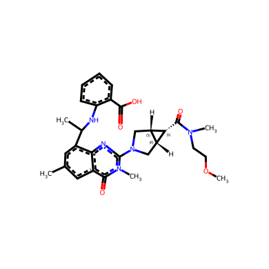 COCCN(C)C(=O)[C@@H]1[C@@H]2CN(c3nc4c(C(C)Nc5ccccc5C(=O)O)cc(C)cc4c(=O)n3C)C[C@@H]21